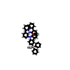 CC(C)(C)[Si](c1ccccc1)(c1ccccc1)c1ccc2c(c1)c1ccccc1n2-c1cccc2c3ccccc3n(-c3ccccc3-c3ccccc3)c12